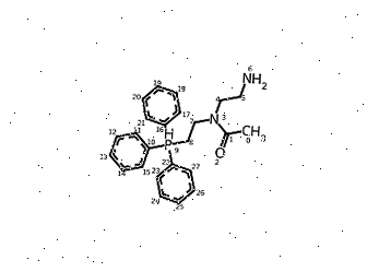 CC(=O)N(CCN)CC[PH](c1ccccc1)(c1ccccc1)c1ccccc1